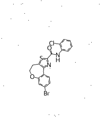 O=C(Nc1ccccc1Cl)c1nc2c(s1)CCOc1cc(Br)ccc1-2